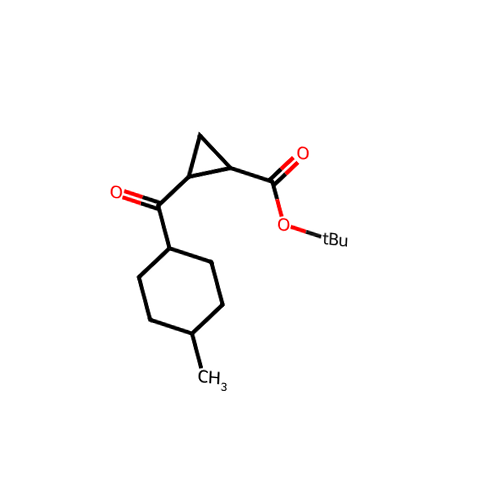 CC1CCC(C(=O)C2CC2C(=O)OC(C)(C)C)CC1